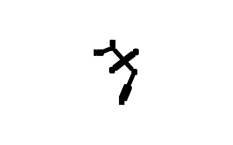 N#COS(=O)(=O)NO